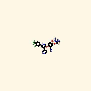 N#Cc1cc(S(=O)(=O)Nc2cscn2)ccc1Oc1cnc(-c2ccc(C(F)(F)F)c(F)c2)cc1-c1cccnc1